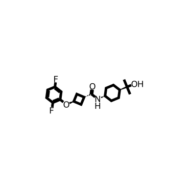 CC(C)(O)[C@H]1CC[C@H](NC(=O)[C@H]2C[C@H](Oc3cc(F)ccc3F)C2)CC1